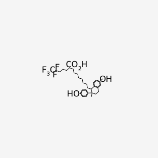 CC1(c2ccc(O)cc2)CCc2cc(O)ccc2C1CCCCCCCCC(CCCC(F)(F)C(F)(F)F)C(=O)O